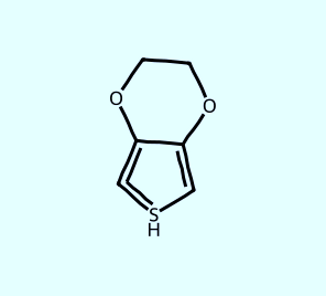 C1=[SH]C=C2OCCOC=12